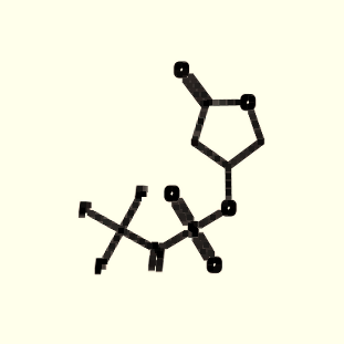 O=C1CC(OS(=O)(=O)NC(F)(F)F)CO1